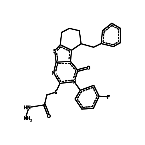 NNC(=O)CSc1nc2sc3c(c2c(=O)n1-c1cccc(F)c1)C(Cc1ccccc1)CCC3